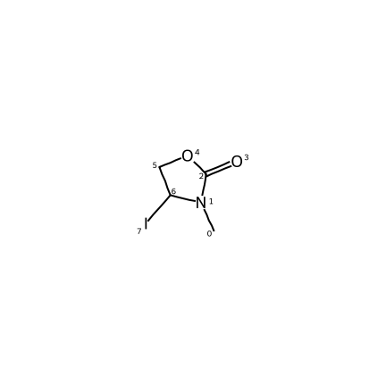 CN1C(=O)OCC1I